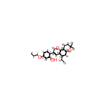 CCCOc1ccc(C2=Cc3c(CC)cc4c(c3OC2)CCC(C)(C)O4)c(O)c1